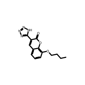 CCCCOc1cccc2cc(-c3nnn[nH]3)c(=O)oc12